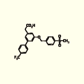 CS(=O)(=O)c1ccc(COc2cc(CC(=O)O)cc(-c3ccc(C(F)(F)F)cc3)c2)cc1